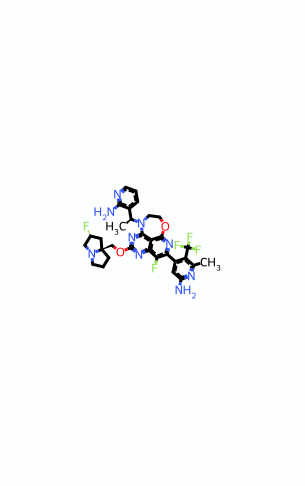 Cc1nc(N)cc(-c2nc3c4c(nc(OC[C@@]56CCCN5C[C@H](F)C6)nc4c2F)N([C@@H](C)c2cccnc2N)CCO3)c1C(F)(F)F